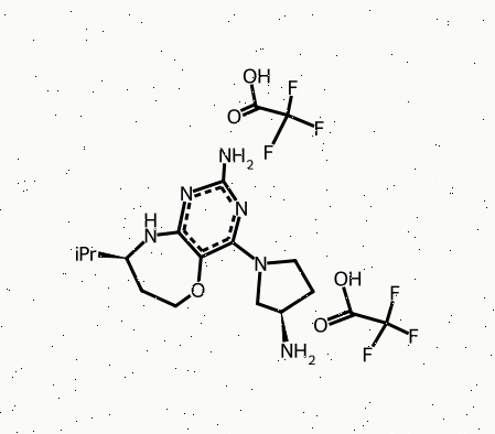 CC(C)[C@@H]1CCOc2c(nc(N)nc2N2CC[C@@H](N)C2)N1.O=C(O)C(F)(F)F.O=C(O)C(F)(F)F